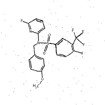 COc1ccc(CN(c2cccc(F)n2)S(=O)(=O)c2ccc(F)c(C(F)(F)F)c2)cc1